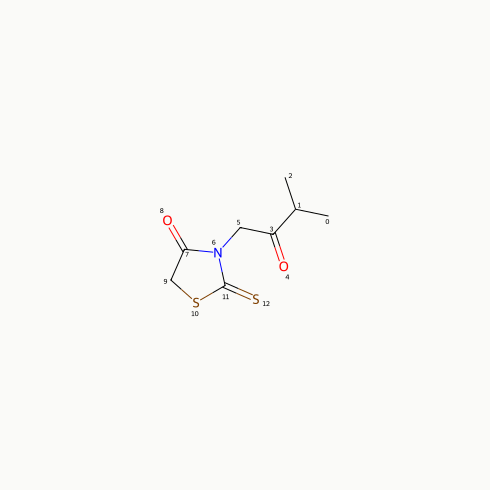 CC(C)C(=O)CN1C(=O)CSC1=S